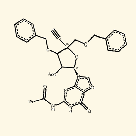 C#C[C@]1(COCc2ccccc2)O[C@@H](n2cnc3c(=O)[nH]c(NC(=O)C(C)C)nc32)C(OC(C)=O)C1OCc1ccccc1